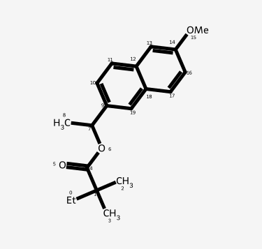 CCC(C)(C)C(=O)OC(C)c1ccc2cc(OC)ccc2c1